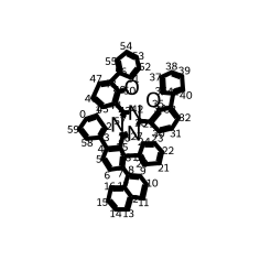 c1ccc(-c2ccc(-c3cccc4ccccc34)c(-c3ccccc3)c2-c2nc(-c3cccc4c3oc3ccccc34)nc(-c3cccc4c3oc3ccccc34)n2)cc1